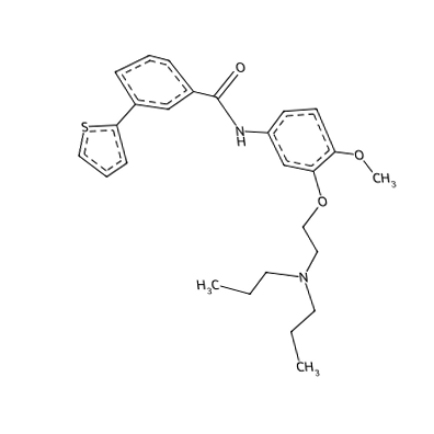 CCCN(CCC)CCOc1cc(NC(=O)c2cccc(-c3cccs3)c2)ccc1OC